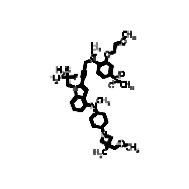 BC(F)(P)Cn1c(C#CCN(C)c2ccc(S(C)(=O)=O)cc2OCCOC)cc2c1=CCCC=2N(C)C1CCC(N2CC(C)(COC)C2)CC1